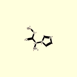 CC(C)(C)OC(=O)N(N)n1ccnc1